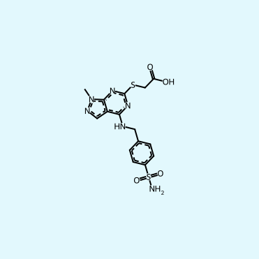 Cn1ncc2c(NCc3ccc(S(N)(=O)=O)cc3)nc(SCC(=O)O)nc21